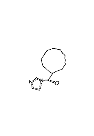 O=C(C1CCCCCCCC1)n1ccnc1